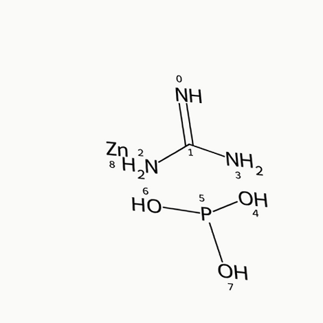 N=C(N)N.OP(O)O.[Zn]